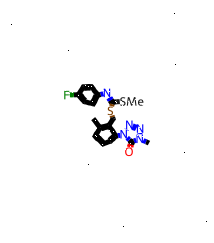 CSC(=Nc1ccc(F)cc1)SCc1c(C)cccc1-n1nnn(C)c1=O